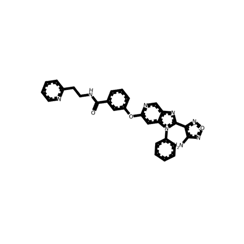 Nc1nonc1-c1nc2cnc(Oc3cccc(C(=O)NCCc4ccccn4)c3)cc2n1-c1ccccc1